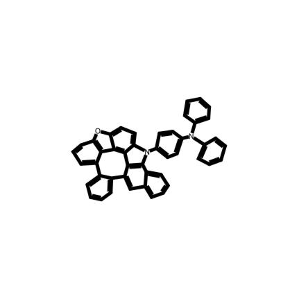 c1ccc(N(c2ccccc2)c2ccc(-n3c4ccc5oc6cccc7c8ccccc8c8cc9ccccc9c3c8c4c5c67)cc2)cc1